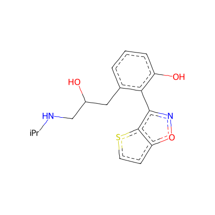 CC(C)NCC(O)Cc1cccc(O)c1-c1noc2ccsc12